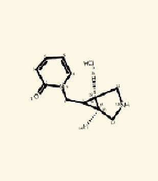 Cl.O=c1ccccn1CC1[C@H]2CNC[C@@H]12